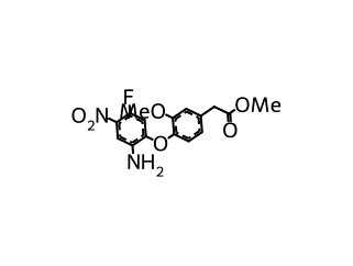 COC(=O)Cc1ccc(Oc2cc(F)c([N+](=O)[O-])cc2N)c(OC)c1